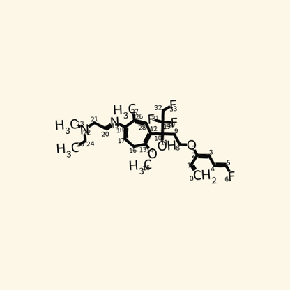 C=C/C(=C\C=C\F)OCCC(O)(C1=C(OC)CC=C(/N=C/CN(C)CC)C(C)=C1)C(F)(F)CF